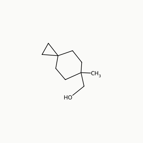 CC1(CO)CCC2(CC1)CC2